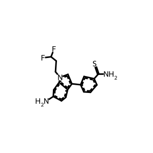 NC(=S)c1cccc(-c2cn(CCC(F)F)c3cc(N)ccc23)c1